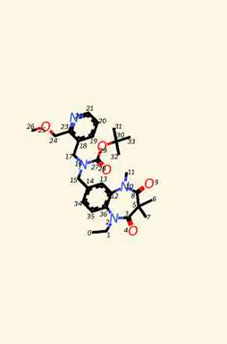 CCN1C(=O)C(C)(C)C(=O)N(C)c2cc(CN(Cc3cccnc3COC)C(=O)OC(C)(C)C)ccc21